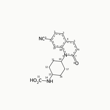 N#Cc1ccc2ccc(=O)n(C3CCC(NC(=O)O)CC3)c2c1